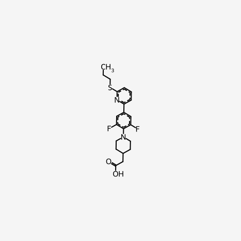 CCCSc1cccc(-c2cc(F)c(N3CCC(CC(=O)O)CC3)c(F)c2)n1